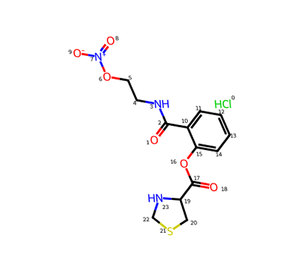 Cl.O=C(NCCO[N+](=O)[O-])c1ccccc1OC(=O)C1CSCN1